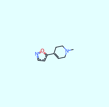 CN1CC=C(c2ccno2)CC1